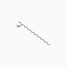 CCCCCCCCCCCCCCCCCC(C=O)CC